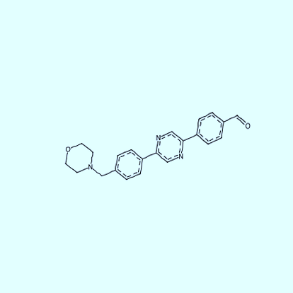 O=Cc1ccc(-c2cnc(-c3ccc(CN4CCOCC4)cc3)cn2)cc1